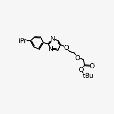 CC(C)c1ccc(-c2ncc(OCCOCC(=O)OC(C)(C)C)cn2)cc1